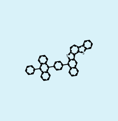 c1ccc(-c2c3ccccc3c(-c3ccc(-c4c5ccccc5cc5c4sc4ccc6c7ccccc7sc6c45)cc3)c3ccccc23)cc1